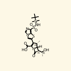 C[C@@H](O)[C@H]1C(=O)N2C(C(=O)O)=C(c3cn4cnc(S(=O)(=O)N[Si](C)(C)C(C)(C)C)c4s3)[C@H](C)[C@H]12